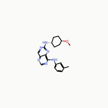 CO[C@H]1CC[C@H](Nc2ncc3ncnc(Nc4cccc(C)c4)c3n2)CC1